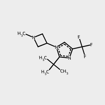 CN1CC(n2cc(C(F)(F)F)nc2C(C)(C)C)C1